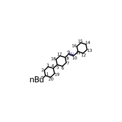 CCCCC1CCC(C2CCC(/C=C/C3CCCCC3)CC2)CC1